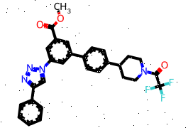 COC(=O)c1cc(-c2ccc(C3CCN(C(=O)C(F)(F)F)CC3)cc2)cc(-n2cc(-c3ccccc3)nn2)c1